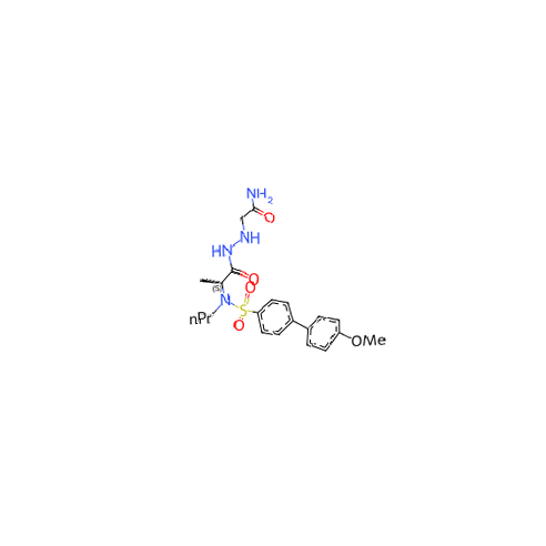 CCCN([C@@H](C)C(=O)NNCC(N)=O)S(=O)(=O)c1ccc(-c2ccc(OC)cc2)cc1